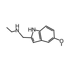 CCNCc1cc2cc(OC)ccc2[nH]1